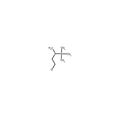 CN(CC[O])[Si](C)(C)C